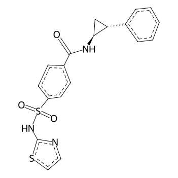 O=C(N[C@H]1C[C@@H]1c1ccccc1)c1ccc(S(=O)(=O)Nc2nccs2)cc1